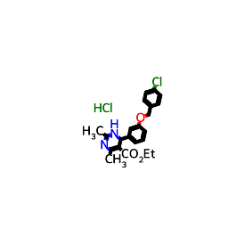 CCOC(=O)C1=C(C)N=C(C)NC1c1cccc(OCc2ccc(Cl)cc2)c1.Cl